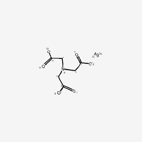 O=C([O-])CN(CC(=O)[O-])CC(=O)[O-].[Ag+3]